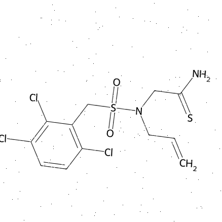 C=CCN(CC(N)=S)S(=O)(=O)Cc1c(Cl)ccc(Cl)c1Cl